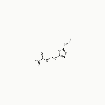 C=C(C)C(=O)OCSc1nnc(SCC)s1